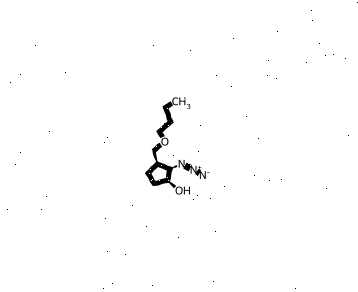 CCCCOC[C@@H]1CC[C@H](O)[C@H]1N=[N+]=[N-]